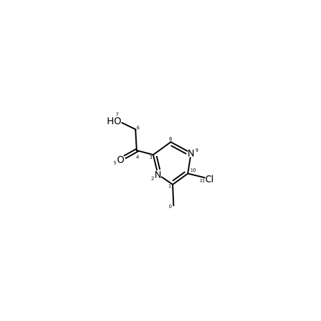 Cc1nc(C(=O)CO)cnc1Cl